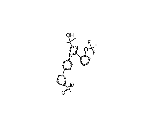 CC(C)(O)c1cn(-c2ccc(-c3cccc(S(C)(=O)=O)c3)cc2)c(-c2ccccc2OC(F)(F)F)n1